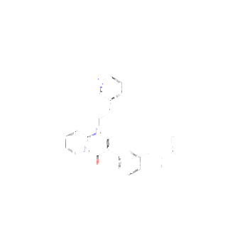 O=c1c(-c2cccc(OC(F)C(F)F)c2)c(O)[n+](CCc2cccnc2)c2ccccn12